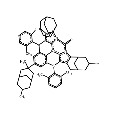 CCC1CC2Cc3c4c5n6c7c(c8c(n7c(=O)n5c3C(C1)C2)C1CC2CC(CC8C2)C1)B(c1c(C)cccc1C)c1cc(C2(C)CC3CC(C)CC(C3)C2)cc(c1-6)B4c1c(C)cccc1C